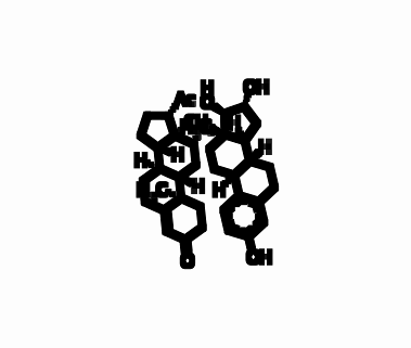 CC(=O)[C@H]1CC[C@H]2[C@@H]3CCC4=CC(=O)CC[C@]4(C)[C@H]3CC[C@]12C.C[C@]12CC[C@@H]3c4ccc(O)cc4CC[C@H]3[C@@H]1C[C@@H](O)[C@@H]2O